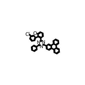 Clc1cccc2c1oc1cccc(-c3nc(-c4ccccc4)nc(-c4ccc5c6ccccc6c6ccccc6c5c4)n3)c12